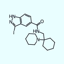 O=C(NCC1(N2CCCCC2)CCCCC1)c1ccc2[nH]nc(I)c2c1